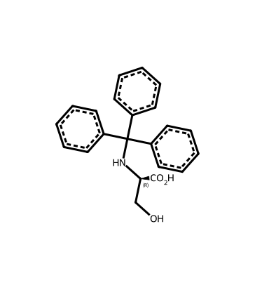 O=C(O)[C@@H](CO)NC(c1ccccc1)(c1ccccc1)c1ccccc1